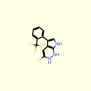 FC1=Cc2c(-c3ccccc3C(F)(F)F)c[nH]c2NN1